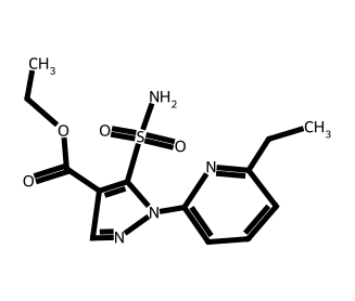 CCOC(=O)c1cnn(-c2cccc(CC)n2)c1S(N)(=O)=O